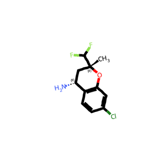 C[C@]1(C(F)F)C[C@@H](N)c2ccc(Cl)cc2O1